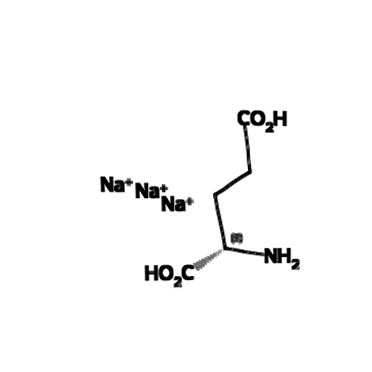 N[C@@H](CCC(=O)O)C(=O)O.[Na+].[Na+].[Na+]